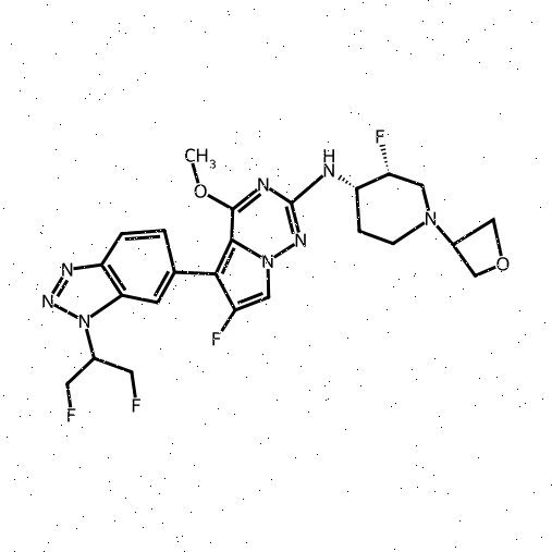 COc1nc(N[C@H]2CCN(C3COC3)C[C@H]2F)nn2cc(F)c(-c3ccc4nnn(C(CF)CF)c4c3)c12